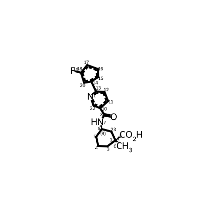 C[C@]1(C(=O)O)CCC[C@@H](NC(=O)c2ccc(-c3cccc(F)c3)nc2)C1